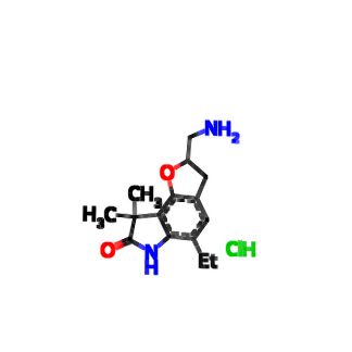 CCc1cc2c(c3c1NC(=O)C3(C)C)OC(CN)C2.Cl